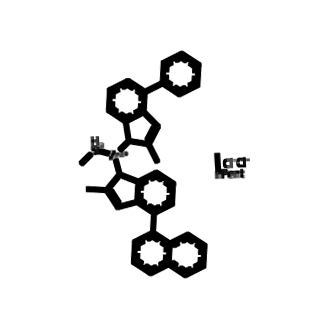 CCCCCC.C[SiH2][Zr+2]([CH]1C(C)=Cc2c(-c3ccccc3)cccc21)[CH]1C(C)=Cc2c(-c3cccc4ccccc34)cccc21.[Cl-].[Cl-]